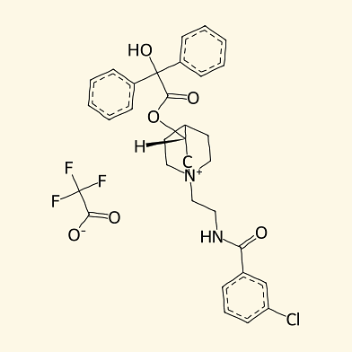 O=C(NCC[N+]12CCC(CC1)[C@@H](OC(=O)C(O)(c1ccccc1)c1ccccc1)C2)c1cccc(Cl)c1.O=C([O-])C(F)(F)F